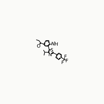 CCC(=O)c1ccc(NC)c(-c2sc(-c3ccc(C(F)(F)F)cc3)nc2C(C)C)c1